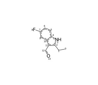 CCc1[nH]c2ccc(F)cc2c1C=O